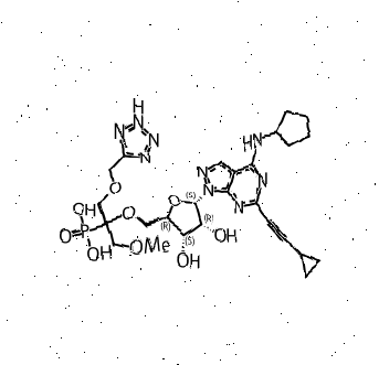 COCC(COCc1nn[nH]n1)(OC[C@H]1O[C@H](n2ncc3c(NC4CCCC4)nc(C#CC4CC4)nc32)[C@H](O)[C@@H]1O)P(=O)(O)O